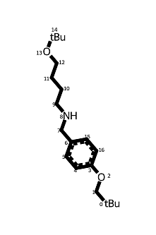 CC(C)(C)COc1ccc(CNCCCCOC(C)(C)C)cc1